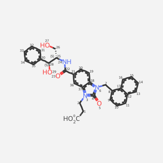 O=C(O)CCn1c(=O)n(Cc2cccc3ccccc23)c2ccc(C(=O)N[C@@H](CO)[C@@H](O)c3ccccc3)cc21